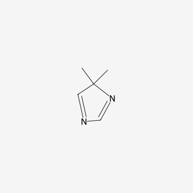 CC1(C)C=NC=N1